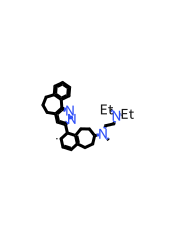 CCN(CC)CCN(C)C1CCC2=C(CC1)C(c1cc3c(nn1)-c1ccccc1CCC3)[CH]C=C2